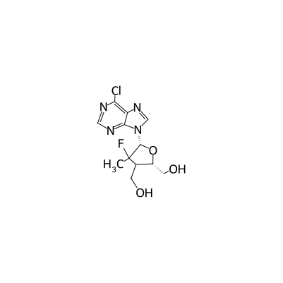 CC1(F)C(CO)[C@@H](CO)O[C@H]1n1cnc2c(Cl)ncnc21